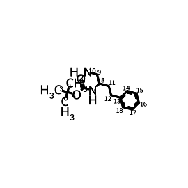 CC(C)(C)OC(=O)NC(CN)CCc1ccccc1